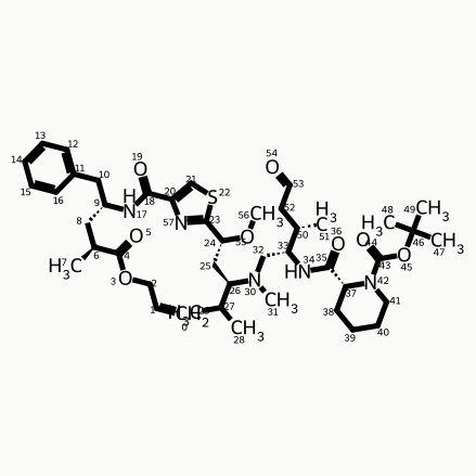 C=CCOC(=O)[C@@H](C)C[C@H](Cc1ccccc1)NC(=O)c1csc([C@@H](C[C@H](C(C)C)N(C)C[C@@H](NC(=O)[C@H]2CCCCN2C(=O)OC(C)(C)C)[C@@H](C)CC=O)OC)n1